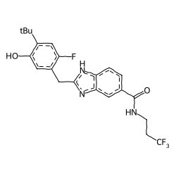 CC(C)(C)c1cc(F)c(Cc2nc3cc(C(=O)NCCC(F)(F)F)ccc3[nH]2)cc1O